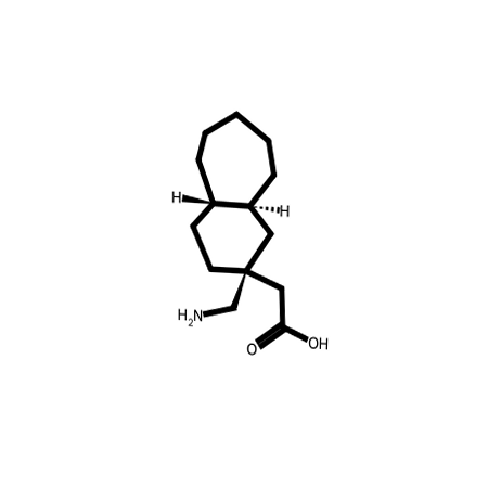 NC[C@@]1(CC(=O)O)CC[C@@H]2CCCCC[C@H]2C1